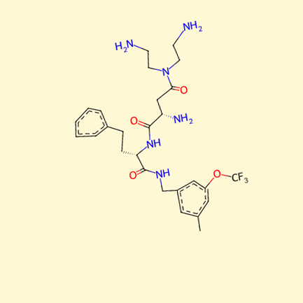 Cc1cc(CNC(=O)[C@H](CCc2ccccc2)NC(=O)[C@@H](N)CC(=O)N(CCN)CCN)cc(OC(F)(F)F)c1